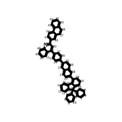 c1ccc(C2(c3ccccc3)c3ccccc3-c3c(-c4ccc5cc(-c6ccc(-c7cc(-c8ccc9c(ccc%10ccccc%109)c8)nc8ccccc78)cc6)ccc5c4)cccc32)cc1